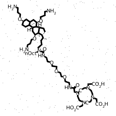 CCCCCCCCN(CCC[C@@H](C)[C@H]1CC[C@H]2C3[C@H](OCCCN)CC4C[C@H](OCCCN)CC[C@]4(C)[C@H]3C[C@H](OCCCN)[C@]12C)C(=O)NCCOCCOCCOCCNC(=O)CN1CCN(CC(=O)O)CCN(CC(=O)O)CCN(CC(=O)O)CC1